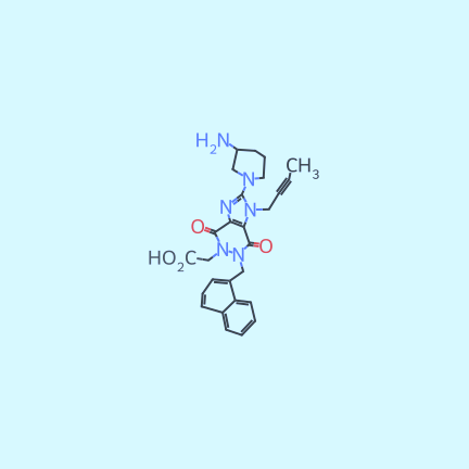 CC#CCn1c(N2CCCC(N)C2)nc2c(=O)n(CC(=O)O)n(Cc3cccc4ccccc34)c(=O)c21